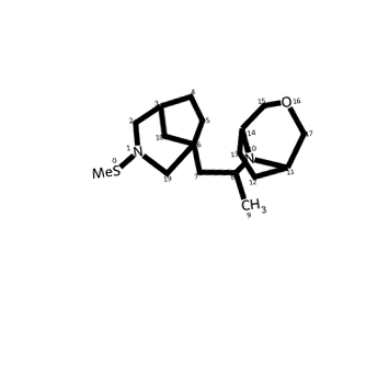 CSN1CC2CCC(CC(C)N3C4CCC3COC4)(C2)C1